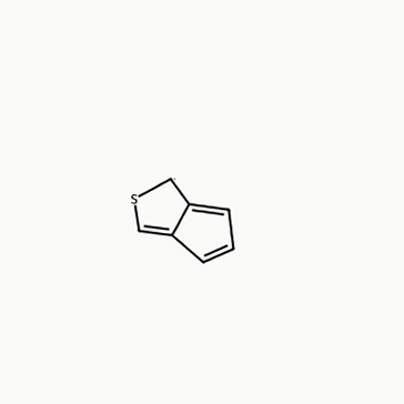 [CH]1SC=C2C=CC=C12